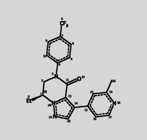 CC[C@H]1CN(c2ccc(C(F)(F)F)cc2)C(=O)c2c(-c3ccnc(C)c3)cnn21